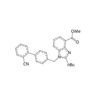 CCCCc1nc2c(C(=O)OC)cccc2n1Cc1ccc(-c2ccccc2C#N)cc1